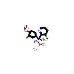 CC(C)(C)[S@@+]([O-])N[C@](C=O)(c1ccc(OC(F)(F)F)c(F)c1)c1ncccc1Br